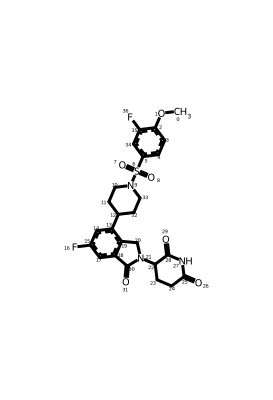 COc1ccc(S(=O)(=O)N2CCC(c3cc(F)cc4c3CN(C3CCC(=O)NC3=O)C4=O)CC2)cc1F